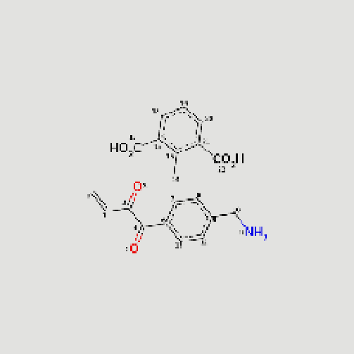 C=CC(=O)C(=O)c1ccc(CN)cc1.Cc1c(C(=O)O)cccc1C(=O)O